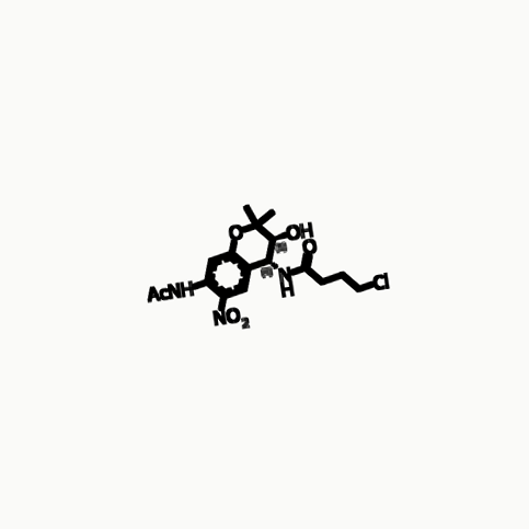 CC(=O)Nc1cc2c(cc1[N+](=O)[O-])[C@@H](NC(=O)CCCCl)[C@H](O)C(C)(C)O2